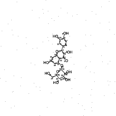 O=c1c(O)c(-c2ccc(O)c(O)c2)oc2cc(O)cc(O[C@@H]3O[C@H](CO)[C@@H](O)[C@H](O)[C@H]3O)c12